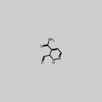 NC(=O)C1=CC=NNC1C=O